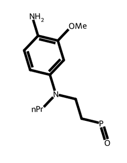 CCCN(CCP=O)c1ccc(N)c(OC)c1